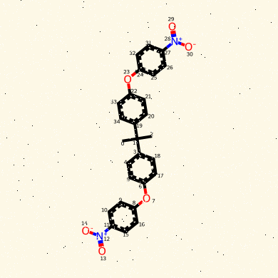 CC(C)(c1ccc(Oc2ccc([N+](=O)[O-])cc2)cc1)c1ccc(Oc2ccc([N+](=O)[O-])cc2)cc1